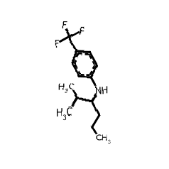 CCCC(Nc1ccc(C(F)(F)F)cc1)C(C)C